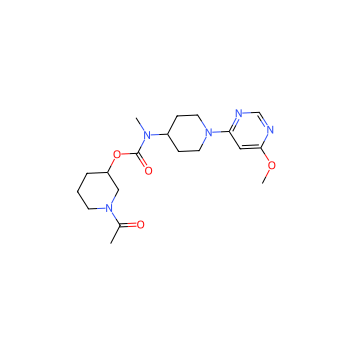 COc1cc(N2CCC(N(C)C(=O)OC3CCCN(C(C)=O)C3)CC2)ncn1